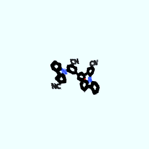 N#Cc1cc(-c2cccc(-c3cc(C#N)ccc3-n3c4ccccc4c4ccccc43)c2)cc(-n2c3ccccc3c3cc(C#N)ccc32)c1